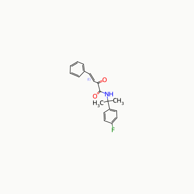 CC(C)(NC(=O)C(=O)/C=C/c1ccccc1)c1ccc(F)cc1